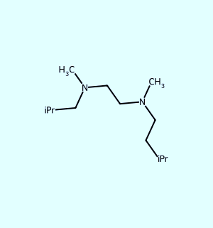 CC(C)CCN(C)CCN(C)CC(C)C